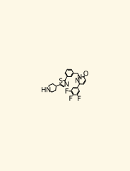 O=c1ccc(-c2cc(F)c(F)c(F)c2)nn1Cc1cccc(-c2ncc(C3CCNCC3)s2)c1